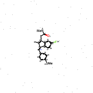 CNC(=O)CC1=C(C)/C(=C/c2ccc(SC)cc2)c2ccc(F)cc21